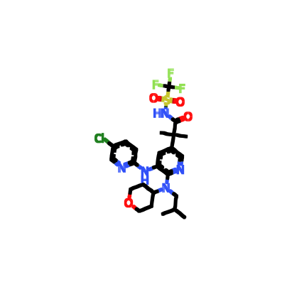 CC(C)CN(c1ncc(C(C)(C)C(=O)NS(=O)(=O)C(F)(F)F)cc1Nc1ccc(Cl)cn1)C1CCOCC1